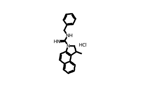 CC1CN(C(=N)NCc2ccccc2)c2ccc3ccccc3c21.Cl